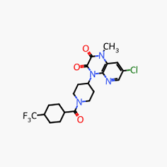 Cn1c(=O)c(=O)n(C2CCN(C(=O)C3CCC(C(F)(F)F)CC3)CC2)c2ncc(Cl)cc21